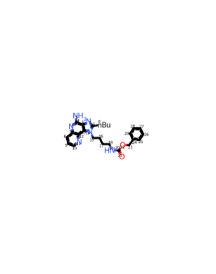 CCCCc1nc2c(N)nc3cccnc3c2n1CCCCNC(=O)OCc1ccccc1